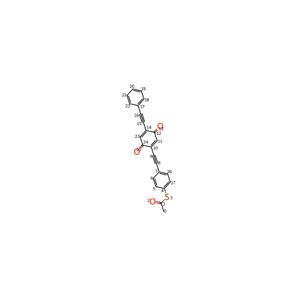 CC(=O)Sc1ccc(C#CC2=CC(=O)C(C#Cc3ccccc3)=CC2=O)cc1